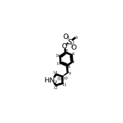 CS(=O)(=O)Oc1ccc(C[C@H]2CCNC2)cc1